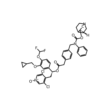 O=C(Cc1ccc(CN(C(=O)O[C@H]2CN3CCC2CC3)c2ccccc2)cc1)O[C@@H](Cc1c(Cl)c[n+]([O-])cc1Cl)c1ccc(OC(F)F)c(OCC2CC2)c1